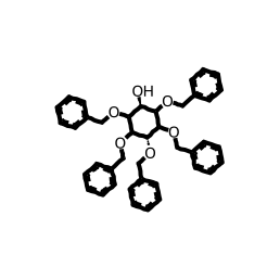 O[C@H]1C(OCc2ccccc2)C(OCc2ccccc2)[C@H](OCc2ccccc2)C(OCc2ccccc2)C1OCc1ccccc1